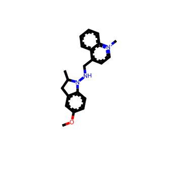 COc1ccc2c(c1)CC(C)N2NCc1cc[n+](C)c2ccccc12